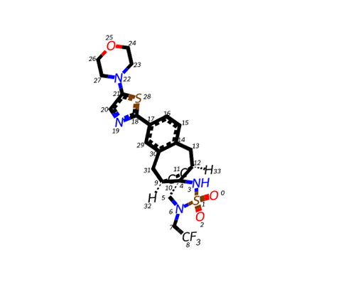 O=S1(=O)N[C@@]2(CN1CC(F)(F)F)[C@@H]1CC[C@H]2Cc2ccc(-c3ncc(N4CCOCC4)s3)cc2C1